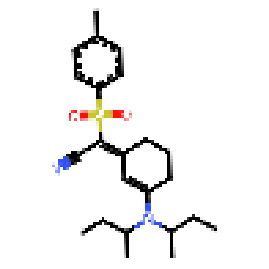 CCC(C)N(C1=C/C(=C(\C#N)S(=O)(=O)c2ccc(C)cc2)CCC1)C(C)CC